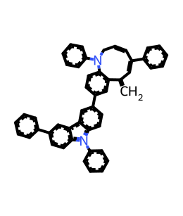 C=C1/C=C(c2ccccc2)\C=C/CN(c2ccccc2)c2ccc(-c3ccc4c(c3)c3cc(-c5ccccc5)ccc3n4-c3ccccc3)cc21